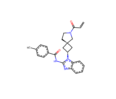 C=CC(=O)N1CC[C@]2(C1)C[C@H](n1c(NC(=O)c3ccc(C#N)cc3)nc3ccccc31)C2